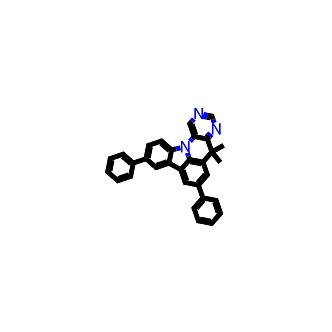 CC1(C)c2ncncc2-n2c3ccc(-c4ccccc4)cc3c3cc(-c4ccccc4)cc1c32